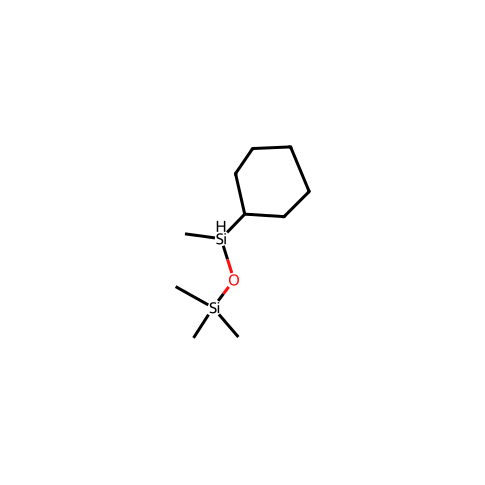 C[SiH](O[Si](C)(C)C)C1CCCCC1